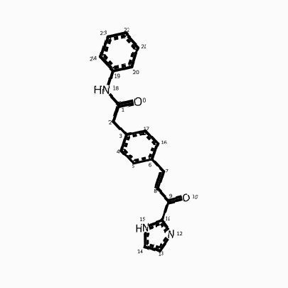 O=C(Cc1ccc(/C=C/C(=O)c2ncc[nH]2)cc1)Nc1ccccc1